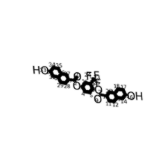 O=C(Oc1ccc(OC(=O)c2ccc3cc(O)ccc3c2)c(C(F)(F)F)c1)c1ccc2cc(O)ccc2c1